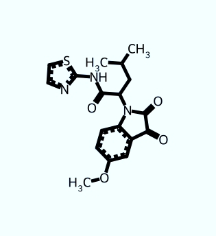 COc1ccc2c(c1)C(=O)C(=O)N2C(CC(C)C)C(=O)Nc1nccs1